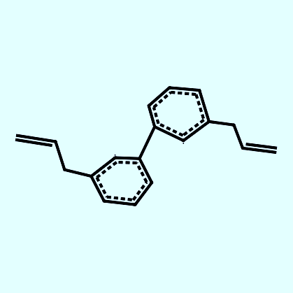 C=CCc1[c]c(-c2[c]c(CC=C)ccc2)ccc1